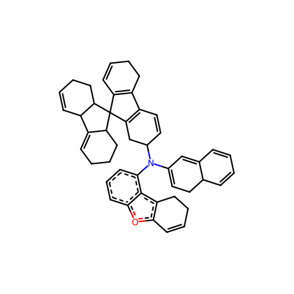 C1=CC2=CC(N(c3cccc4oc5c(c34)CCC=C5)C3C=CC4=C(C3)C3(C5=C4CCC=C5)C4CCCC=C4C4C=CCCC43)=CCC2C=C1